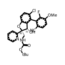 COc1ccc(C#N)c(-c2c(Cl)ccc3c2[C@H](O)[C@@](CNC(=O)OC(C)(C)C)(c2ccccn2)O3)c1F